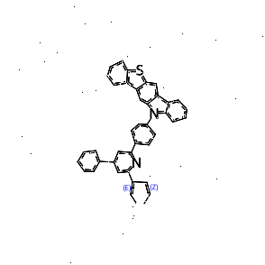 C/C=C\C(=C/C)c1cc(-c2ccccc2)cc(-c2ccc(-n3c4ccccc4c4cc5sc6ccccc6c5cc43)cc2)n1